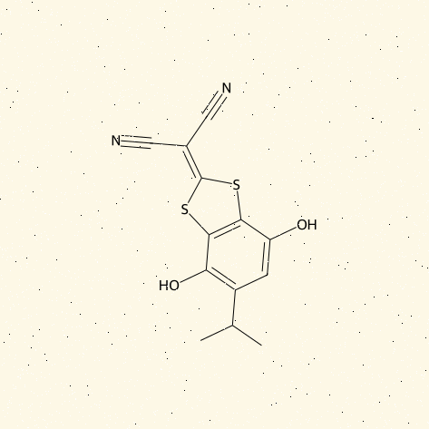 CC(C)c1cc(O)c2c(c1O)SC(=C(C#N)C#N)S2